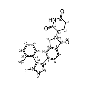 Cn1ncc(-c2ccc3c(c2)CN(C2CCC(=O)NC2=O)C3=O)c1-c1ccccc1F